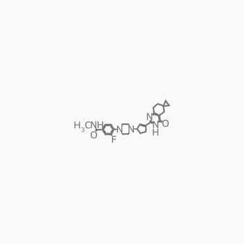 CNC(=O)c1ccc(N2CCN([C@H]3C=C(c4nc5c(c(=O)[nH]4)CC4(CC5)CC4)CC3)CC2)c(F)c1